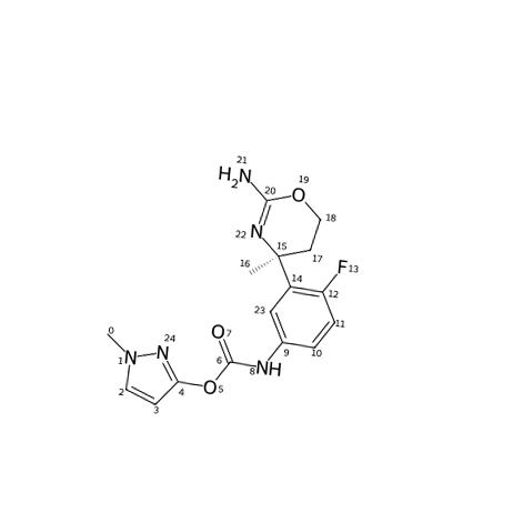 Cn1ccc(OC(=O)Nc2ccc(F)c([C@]3(C)CCOC(N)=N3)c2)n1